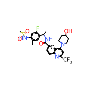 Cc1cc([C@@H](C)NC(=O)c2ccc3nc(C(F)(F)F)cc(N4CCC(O)CC4)c3c2)c(F)cc1NS(C)(=O)=O